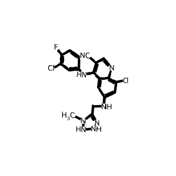 CN1NNN=C1CNc1cc(Cl)c2ncc(C#N)c(Nc3ccc(F)c(Cl)c3)c2c1